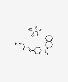 NCC(=CF)COc1ccc(C(=O)N2CCc3ccccc3C2)cc1.O=C(O)C(F)(F)F